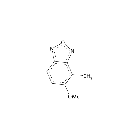 COc1ccc2nonc2c1C